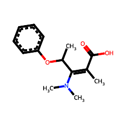 CC(C(=O)O)=C(C(C)Oc1ccccc1)N(C)C